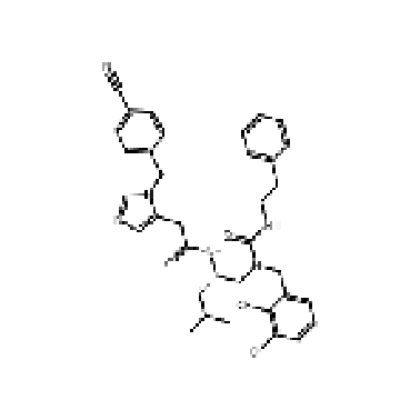 CC(C)C[C@@H](CN(Cc1cccc(Cl)c1Cl)C(=S)NCCc1ccccc1)NC(=O)Cc1cncn1Cc1ccc(C#N)cc1